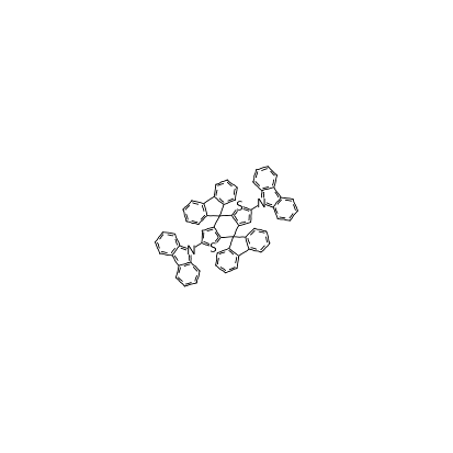 c1ccc2c(c1)-c1ccccc1C21c2cc(-n3c4ccccc4c4ccccc43)sc2C2(c3ccccc3-c3ccccc32)c2cc(-n3c4ccccc4c4ccccc43)sc21